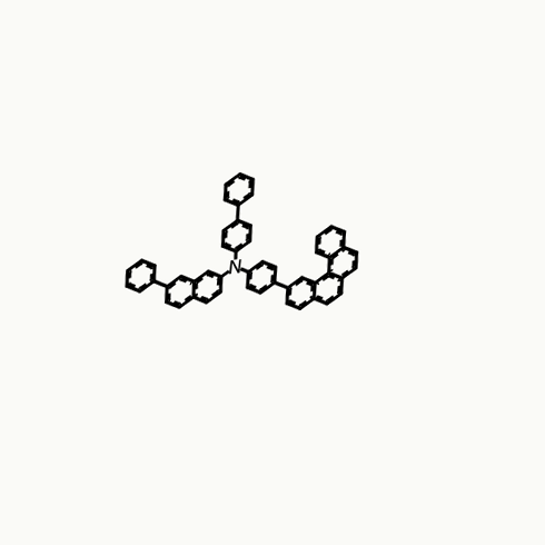 c1ccc(-c2ccc(N(c3ccc(-c4ccc5ccc6ccc7ccccc7c6c5c4)cc3)c3ccc4ccc(-c5ccccc5)cc4c3)cc2)cc1